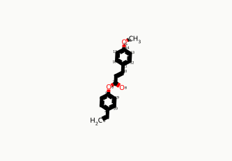 C=Cc1ccc(OC(=O)/C=C/c2ccc(OC)cc2)cc1